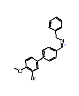 COc1ccc(-c2ccc(/C=N\Cc3ccccc3)cc2)cc1Br